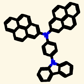 c1cc2ccc3cc(N(c4ccc(-n5c6ccccc6c6ccccc65)cc4)c4cc5ccc6cccc7ccc(c4)c5c67)cc4ccc(c1)c2c34